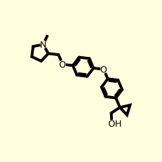 CN1CCCC1COc1ccc(Oc2ccc(C3(CO)CC3)cc2)cc1